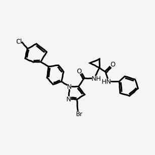 O=C(NC1(C(=O)Nc2ccccc2)CC1)c1cc(Br)nn1-c1ccc(-c2ccc(Cl)cc2)cc1